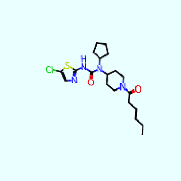 CCCCCC(=O)N1CCC(N(C(=O)Nc2ncc(Cl)s2)C2CCCC2)CC1